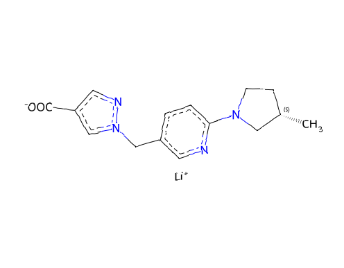 C[C@H]1CCN(c2ccc(Cn3cc(C(=O)[O-])cn3)cn2)C1.[Li+]